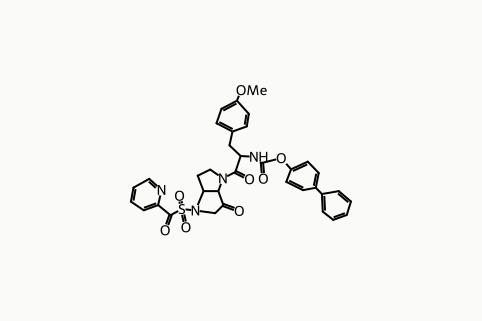 COc1ccc(CC(NC(=O)Oc2ccc(-c3ccccc3)cc2)C(=O)N2CCC3C2C(=O)CN3S(=O)(=O)C(=O)c2ccccn2)cc1